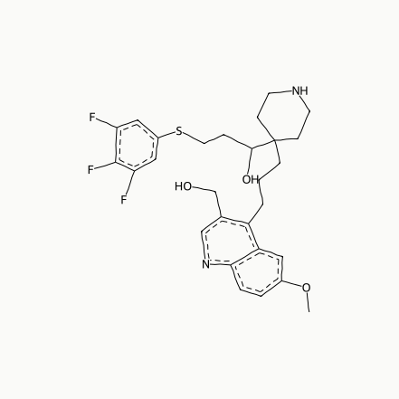 COc1ccc2ncc(CO)c(CCCC3(C(O)CCSc4cc(F)c(F)c(F)c4)CCNCC3)c2c1